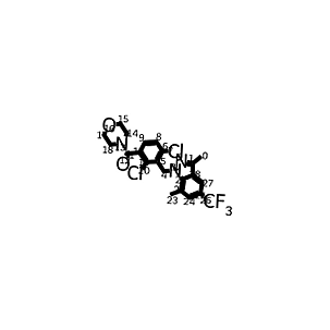 Cc1nn(Cc2c(Cl)ccc(C(=O)N3CCOCC3)c2Cl)c2c(C)cc(C(F)(F)F)cc12